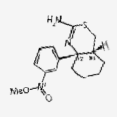 CO[N+](=O)c1cccc([C@]23CCCC[C@H]2CSC(N)=N3)c1